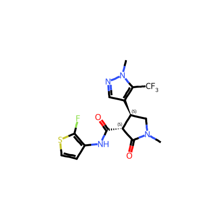 CN1C[C@H](c2cnn(C)c2C(F)(F)F)[C@@H](C(=O)Nc2ccsc2F)C1=O